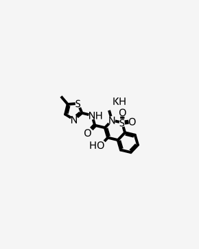 Cc1cnc(NC(=O)C2=C(O)c3ccccc3S(=O)(=O)N2C)s1.[KH]